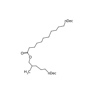 CCCCCCCCCCCCCCCCCCCCC(=O)OCC(C)CCCCCCCCCCCCC